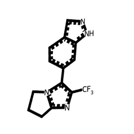 FC(F)(F)c1nc2n(c1-c1ccc3cn[nH]c3c1)CCC2